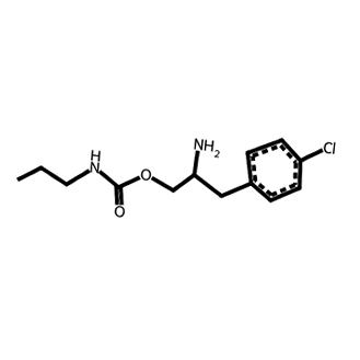 CCCNC(=O)OCC(N)Cc1ccc(Cl)cc1